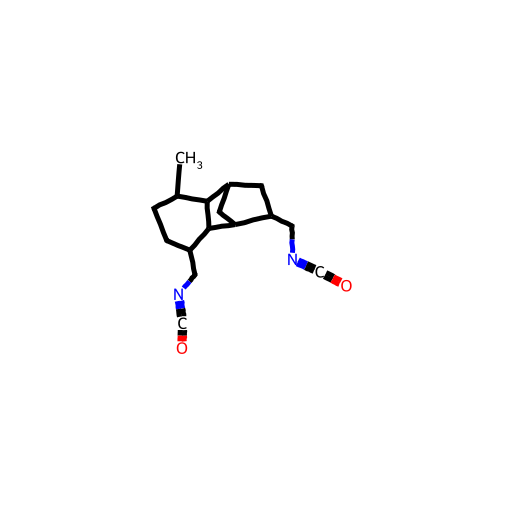 CC1CCC(CN=C=O)C2C3CC(CC3CN=C=O)C12